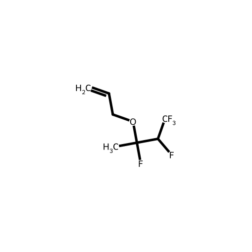 C=CCOC(C)(F)C(F)C(F)(F)F